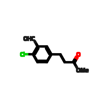 COC(=O)CCc1ccc(Cl)c(C=O)c1